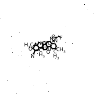 CC1(C)CC[C@]2(c3noc(CF)n3)CC[C@]3(C)[C@H](C(=O)C=C4[C@@]5(C)C=C(C#N)C(=O)C6(C)C[C@]65CC[C@]43C)[C@@H]2C1